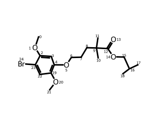 COc1cc(OCCCC(C)(C)C(=O)OCC(C)C)c(OC)cc1Br